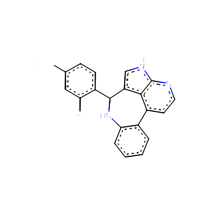 Cc1ccc(C2Nc3ccccc3-c3ccnc4[nH]cc2c34)c(C)c1